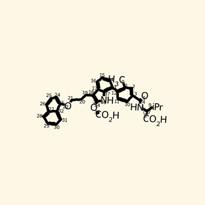 Cc1cc(C(=O)N[C@H](C(=O)O)C(C)C)ccc1-c1cccc2c(CCCOc3cccc4ccccc34)c(OC(=O)O)[nH]c12